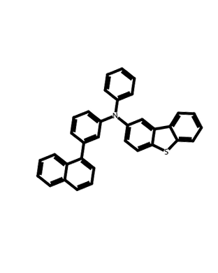 c1ccc(N(c2cccc(-c3cccc4ccccc34)c2)c2ccc3sc4ccccc4c3c2)cc1